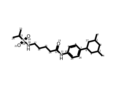 CC1CC(C)CC(c2ccc(NC(=O)CCCCNS(=O)(=O)C(C)C)cc2)C1